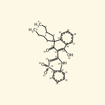 CCCCC1(CCCC)C(=O)C(C2=NS(=O)(=O)c3ccccc3N2)=C(O)c2ccccc21